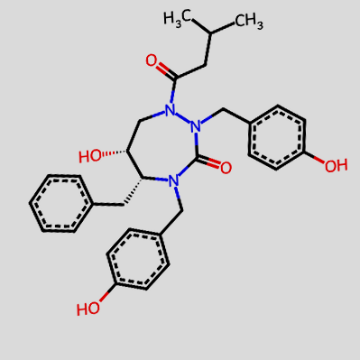 CC(C)CC(=O)N1C[C@@H](O)[C@@H](Cc2ccccc2)N(Cc2ccc(O)cc2)C(=O)N1Cc1ccc(O)cc1